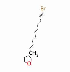 C1CCOC1.CCCCCCCCCC=CBr